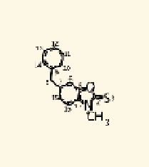 Cn1c(=S)oc2cc(Cc3ccccc3)ccc21